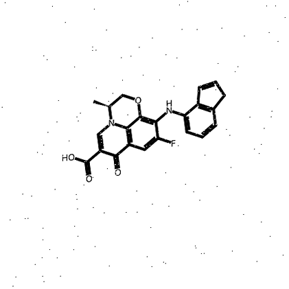 C[C@H]1COc2c(Nc3cccc4c3C=CC4)c(F)cc3c(=O)c(C(=O)O)cn1c23